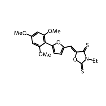 CCN1C(=S)O/C(=C\c2ccc(-c3c(OC)cc(OC)cc3OC)o2)C1=S